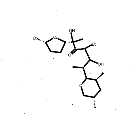 CCC(C(=O)C(C)(O)[C@@H]1CC[C@H](CC)O1)C(O)C(C)C1OC[C@@H](C)C[C@@H]1C